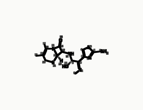 C/N=C(/c1csc(N)n1)[C@H](O)NC1C(=O)N2C(C)=C(C)CS[C@H]12